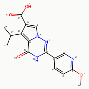 COc1ccc(-c2nn3cc(C(=O)O)c(C(C)C)c3c(=O)[nH]2)cn1